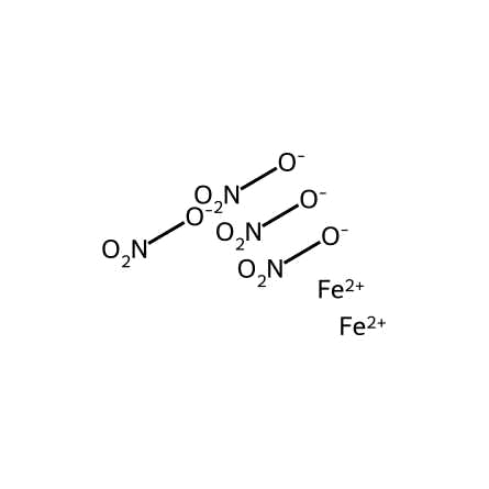 O=[N+]([O-])[O-].O=[N+]([O-])[O-].O=[N+]([O-])[O-].O=[N+]([O-])[O-].[Fe+2].[Fe+2]